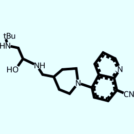 CC(C)(C)NCC(O)NCC1CCN(c2ccc(C#N)c3ncccc23)CC1